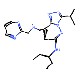 CCC(CC)Nc1cc(NCc2ncccn2)c2nnc(C(C)C)n2n1